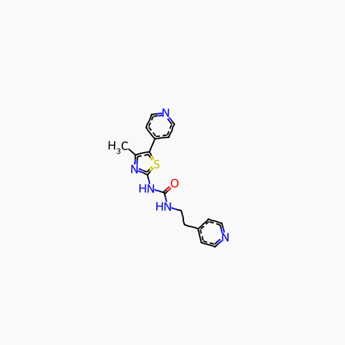 Cc1nc(NC(=O)NCCc2ccncc2)sc1-c1ccncc1